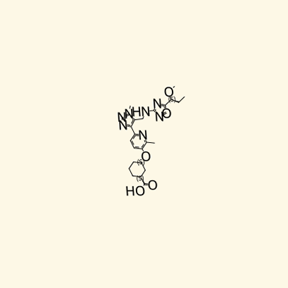 CC[C@H](OC)c1nc(NCc2c(-c3ccc(O[C@H]4CCC[C@H](C(=O)O)C4)c(C)n3)nnn2C)no1